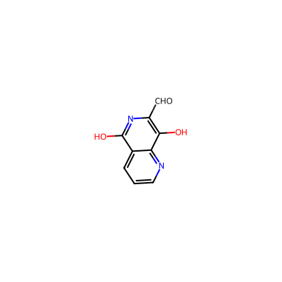 O=Cc1nc(O)c2cccnc2c1O